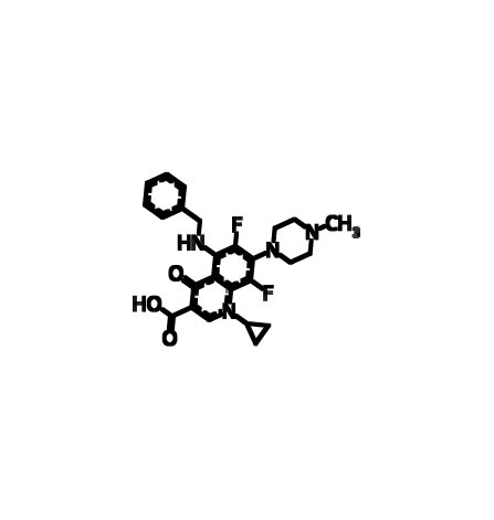 CN1CCN(c2c(F)c(NCc3ccccc3)c3c(=O)c(C(=O)O)cn(C4CC4)c3c2F)CC1